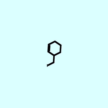 ICC1C=CCCC1